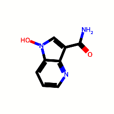 NC(=O)c1cn(O)c2cccnc12